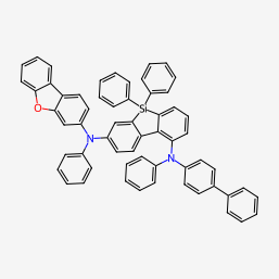 c1ccc(-c2ccc(N(c3ccccc3)c3cccc4c3-c3ccc(N(c5ccccc5)c5ccc6c(c5)oc5ccccc56)cc3[Si]4(c3ccccc3)c3ccccc3)cc2)cc1